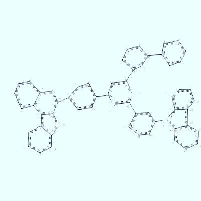 c1ccc(-c2cccc(-c3cc(-c4ccc(-c5nc6ccccc6c6c5sc5ccccc56)cc4)nc(-c4cccc(-n5c6ccccc6c6ccccc65)c4)n3)c2)cc1